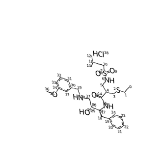 CCSCC(CNS(=O)(=O)CC(C)C)C(=O)N[C@@H](Cc1ccccc1)[C@H](O)CNCc1cccc(OC)c1.Cl